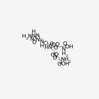 Nc1nc(=O)c2nc(CNc3ccc(C(=O)N[C@@H](CCC(=O)OC(=O)CC[C@H](N)C(=O)O)C(=O)OC(=O)CC[C@H](N)C(=O)O)cc3)cnc2[nH]1